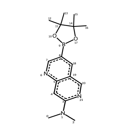 CN(C)c1cc2ncc(B3OC(C)(C)C(C)(C)O3)cc2cn1